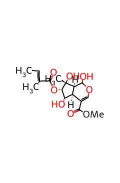 C/C=C(\C)C(=O)O[C@H]1[C@@H](O)[C@@H]2C(C(=O)OC)=COC(O)[C@@H]2[C@@]1(C)O